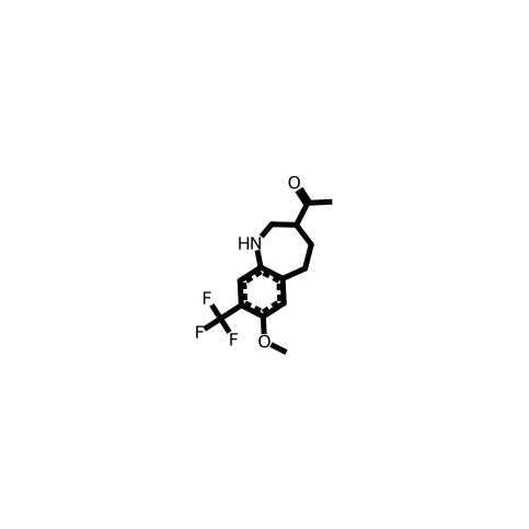 COc1cc2c(cc1C(F)(F)F)NCC(C(C)=O)CC2